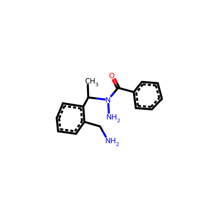 CC(c1ccccc1CN)N(N)C(=O)c1ccccc1